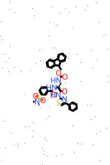 CN(C)S(=O)(=O)c1cccc(C(=O)N[C@@H](CNC(=O)OCC2c3ccccc3-c3ccccc32)C(=O)Nc2nc(-c3ccccc3)cs2)c1